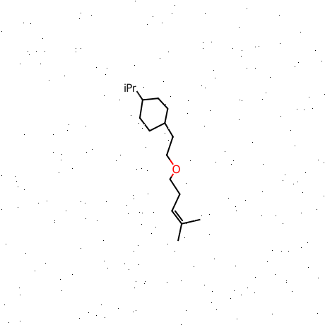 CC(C)=CCCOCCC1CCC(C(C)C)CC1